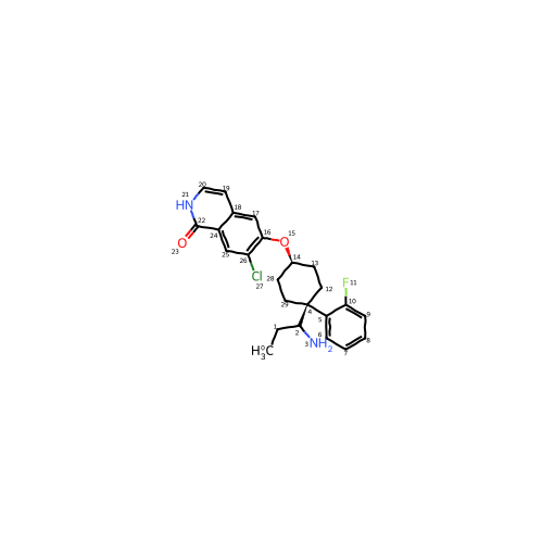 CCC(N)[C@]1(c2ccccc2F)CC[C@H](Oc2cc3cc[nH]c(=O)c3cc2Cl)CC1